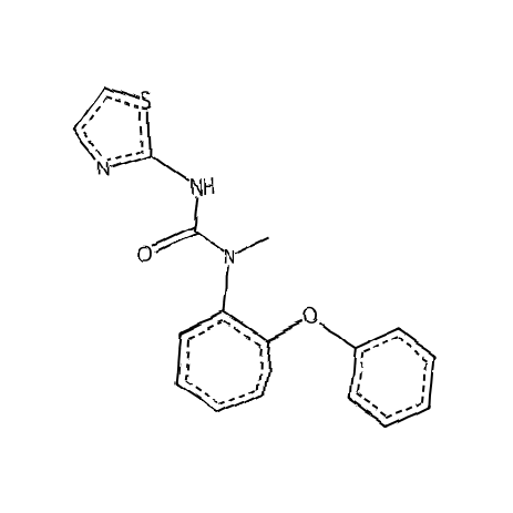 CN(C(=O)Nc1nccs1)c1ccccc1Oc1ccccc1